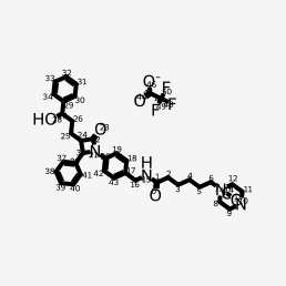 O=C(CCCCC[N+]12CCN(CC1)CC2)NCc1ccc(N2C(=O)C(CCC(O)c3ccccc3)C2c2ccccc2)cc1.O=C([O-])C(F)(F)F